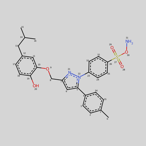 Cc1ccc(-c2cc(COc3cc(CC(C)C)ccc3O)nn2-c2ccc(S(=O)(=O)ON)cc2)cc1